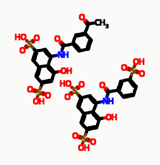 CC(=O)c1cccc(C(=O)Nc2cc(S(=O)(=O)O)cc3cc(S(=O)(=O)O)cc(O)c23)c1.O=C(Nc1cc(S(=O)(=O)O)cc2cc(S(=O)(=O)O)cc(O)c12)c1cccc(S(=O)(=O)O)c1